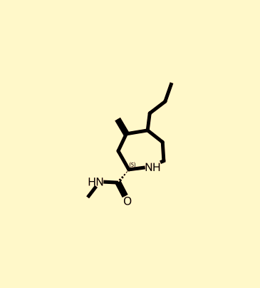 C=C1C[C@@H](C(=O)NC)NCCC1CCC